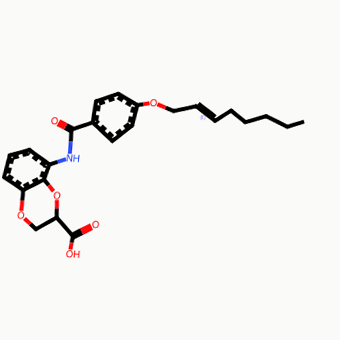 CCCCC/C=C/COc1ccc(C(=O)Nc2cccc3c2OC(C(=O)O)CO3)cc1